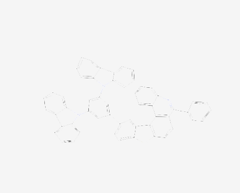 c1ccc(-c2nc3ccccc3c3c2ccc2sc4ccc(-c5cc(-n6c7ccccc7c7ccccc76)cc(-n6c7ccccc7c7ccccc76)c5)cc4c23)cc1